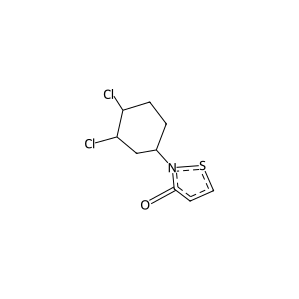 O=c1ccsn1C1CCC(Cl)C(Cl)C1